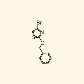 Brc1csc(OCc2ccccc2)n1